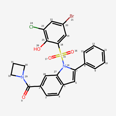 O=C(c1ccc2cc(-c3ccccc3)n(S(=O)(=O)c3cc(Br)cc(Cl)c3O)c2c1)N1CCC1